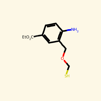 CCOC(=O)c1ccc(N)c(COCS)c1